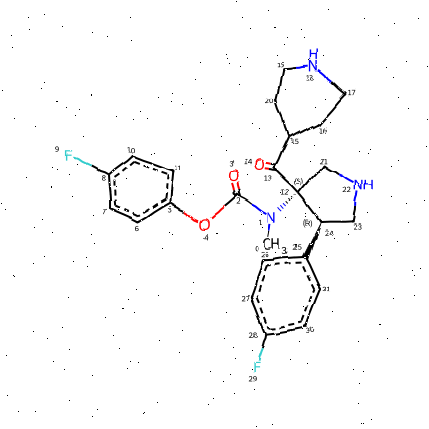 CN(C(=O)Oc1ccc(F)cc1)[C@]1(C(=O)C2CCNCC2)CNC[C@H]1c1ccc(F)cc1